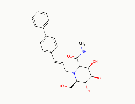 CNC(=O)[C@@H]1[C@@H](O)[C@@H](O)[C@H](O)[C@@H](CO)N1CC=Cc1ccc(-c2ccccc2)cc1